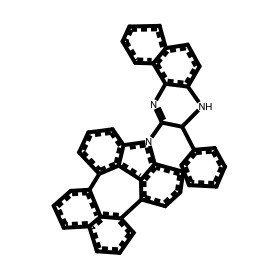 c1ccc(C2Nc3ccc4ccccc4c3N=C2n2c3cccc4c3c3c(cccc32)-c2cccc3cccc-4c23)cc1